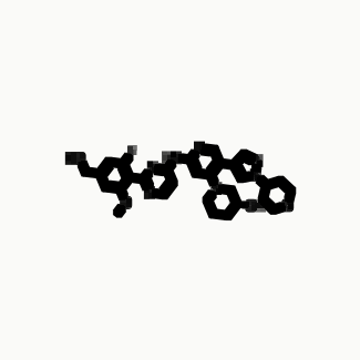 COc1cc(CO)cc(F)c1-c1nccc(Nc2cc(N3CCC[C@H](O)C3)c(-c3cnn(C4CCOCC4)c3)cn2)n1